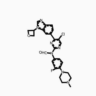 CN1CCN(c2ccc(N(C=O)c3ncc(Cl)c(-c4ccc5ncn(C6COC6)c5c4)n3)cc2F)CC1